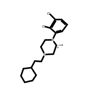 C[C@@H]1CN(CCC2CCCCC2)CCN1c1cccc(Cl)c1Cl